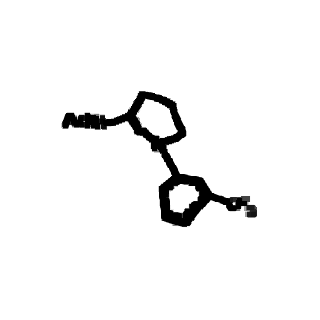 CC(=O)NC1CCCN(c2cccc(C(F)(F)F)c2)C1